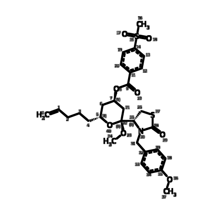 C=CCCC[C@@H]1C[C@@H](OC(=O)c2ccc(S(C)(=O)=O)cc2)C[C@](OC)([C@@H]2CSC(=O)N2Cc2ccc(OC)cc2)O1